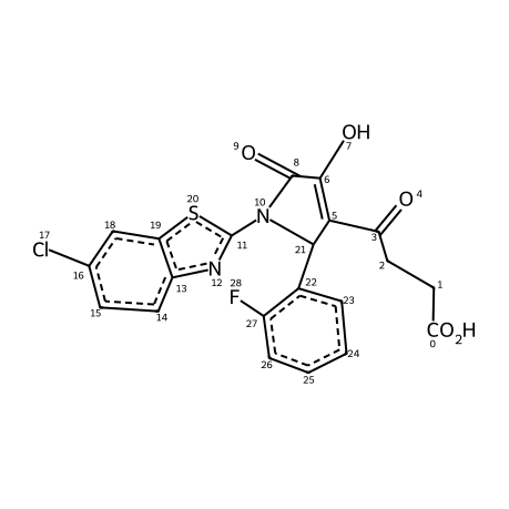 O=C(O)CCC(=O)C1=C(O)C(=O)N(c2nc3ccc(Cl)cc3s2)C1c1ccccc1F